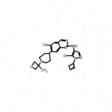 CC1(N2CCC(c3cc4nc(Nc5cnn(C67CC(C6)C7)c5Cl)ncc4cc3Cl)CC2)COC1